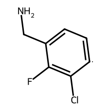 NCc1cc[c]c(Cl)c1F